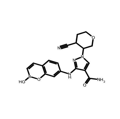 N#CC1CCOCC1n1cc(C(N)=O)c(Nc2ccc3c(c2)OB(O)C=C3)n1